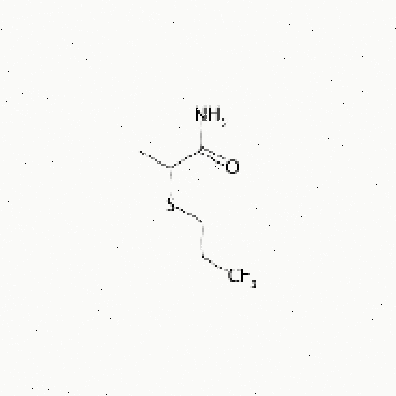 CC(SCCC(F)(F)F)C(N)=O